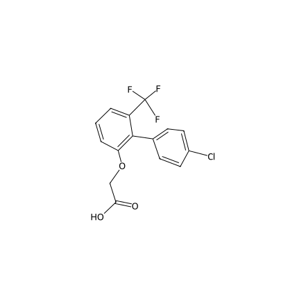 O=C(O)COc1cccc(C(F)(F)F)c1-c1ccc(Cl)cc1